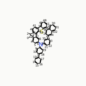 C[Si]1(C)c2ccc(N(c3ccc(-c4ccccc4)cc3)c3cccc(-c4ccc5ccccc5c4)c3)cc2-c2c1ccc1c2sc2ccccc21